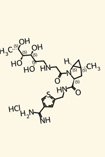 C[C@H](O)[C@H](O)[C@@H](O)[C@@H](O)CNCC(=O)N1[C@H]2C[C@@]2(C)C[C@H]1C(=O)NCc1cc(C(=N)N)cs1.Cl